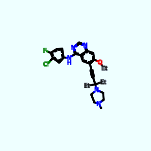 CCOc1cc2ncnc(Nc3ccc(F)c(Cl)c3)c2cc1C#CC(CC)(CC)N1CCN(C)CC1